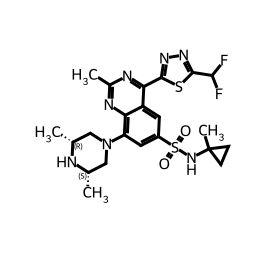 Cc1nc(-c2nnc(C(F)F)s2)c2cc(S(=O)(=O)NC3(C)CC3)cc(N3C[C@@H](C)N[C@@H](C)C3)c2n1